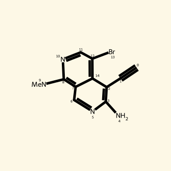 C#Cc1c(N)ncc2c(NC)ncc(Br)c12